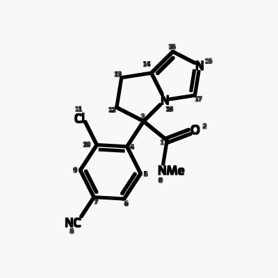 CNC(=O)C1(c2ccc(C#N)cc2Cl)CCc2cncn21